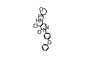 O=c1c(Cl)c(NC[C@@]2(F)CCCOC2)cnn1-c1ccc(Oc2ccccc2)cc1